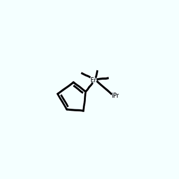 C[CH](C)[Er]([CH3])([CH3])([CH3])[C]1=CC=CC1